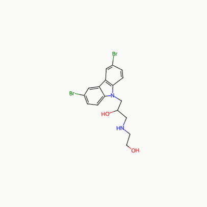 OCCNCC(O)Cn1c2ccc(Br)cc2c2cc(Br)ccc21